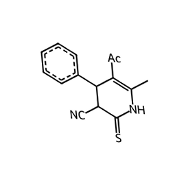 CC(=O)C1=C(C)NC(=S)C(C#N)C1c1ccccc1